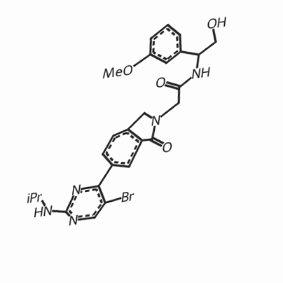 COc1cccc(C(CO)NC(=O)CN2Cc3ccc(-c4nc(NC(C)C)ncc4Br)cc3C2=O)c1